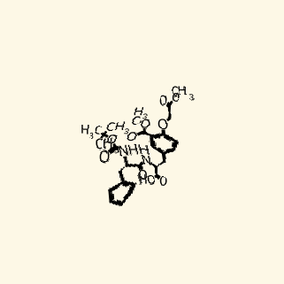 COC(=O)COc1ccc(C[C@H](NC(=O)[C@H](Cc2ccccc2)NC(=O)OC(C)(C)C)C(=O)O)cc1C(=O)OC